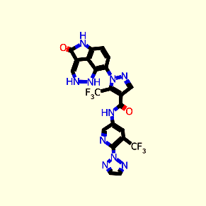 O=C1Nc2ccc(-n3ncc(C(=O)Nc4cnc(-n5nccn5)c(C(F)(F)F)c4)c3C(F)(F)F)c3c2C1=CNN3